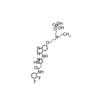 CCCN(CCCOc1ccc2c(Nc3cc(CC(=O)Nc4cccc(F)c4F)[nH]n3)ncnc2c1)CCOP(=O)(O)O